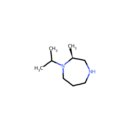 CC(C)N1CCCNC[C@@H]1C